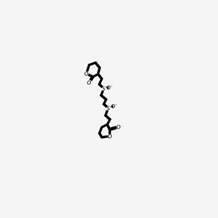 O=C1OCCCC1CC[S+]([O-])CCC[S+]([O-])CCC1CCCOC1=O